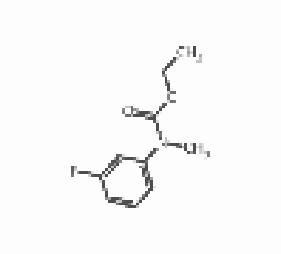 [CH2]COC(=O)N(C)c1cccc(F)c1